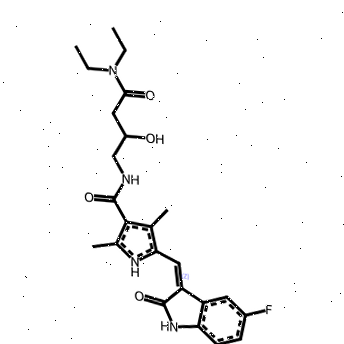 CCN(CC)C(=O)CC(O)CNC(=O)c1c(C)[nH]c(/C=C2\C(=O)Nc3ccc(F)cc32)c1C